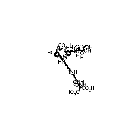 O=CO[C@H](CCCCNC(=O)CCCCCNC(=O)CCc1ccc(O)c(CN(CCN(CC(=O)O)Cc2cc(CCC(=O)NC3C(O)OC(CO)[C@@H](O)[C@H]3O)ccc2O)CC(=O)O)c1)NC(=O)N[C@@H](CCC(=O)O)C(=O)O